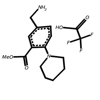 COC(=O)c1cc(CN)ccc1N1CCCCC1.O=C(O)C(F)(F)F